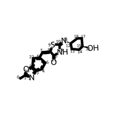 Cc1nc2ccc(C=C3SC(=N[C@H]4CC[C@H](O)CC4)NC3=O)cc2o1